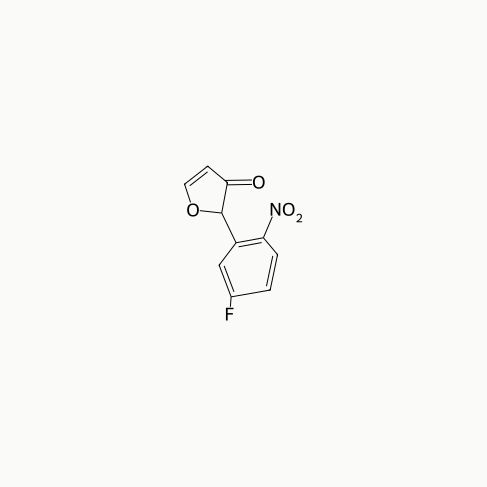 O=C1C=COC1c1cc(F)ccc1[N+](=O)[O-]